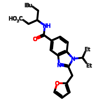 CCC(C)CC(CC(=O)O)NC(=O)c1ccc2c(c1)nc(Cc1ccco1)n2C(CC)CC